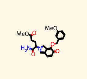 COC(=O)CCC(C(N)=O)N1C=C2C=CC(=O)C(OCc3cccc(OC)c3)=C2C1